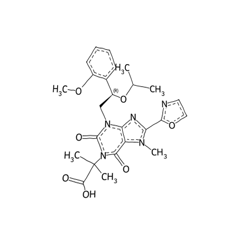 COc1ccccc1[C@H](Cn1c(=O)n(C(C)(C)C(=O)O)c(=O)c2c1nc(-c1ncco1)n2C)OC(C)C